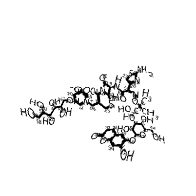 CC(C)(O/N=C(\C(=O)N[C@@H]1C(=O)N2C(C(=O)[O-])=C(C[n+]3ccccc3)CS[C@H]12)c1csc(N)n1)C(=O)O.O=c1ccc2cc(O[C@@H]3O[C@H](CO)[C@@H](O)[C@H](O)[C@H]3O)c(O)cc2o1.OC[C@@H](O)[C@@H](O)[C@H](O)[C@H](O)CO